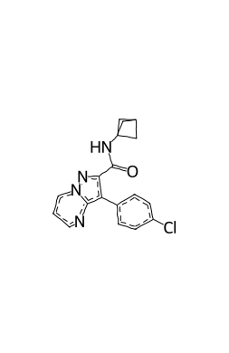 O=C(NC12CC(C1)C2)c1nn2cccnc2c1-c1ccc(Cl)cc1